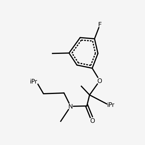 Cc1cc(F)cc(OC(C)(C(=O)N(C)CCC(C)C)C(C)C)c1